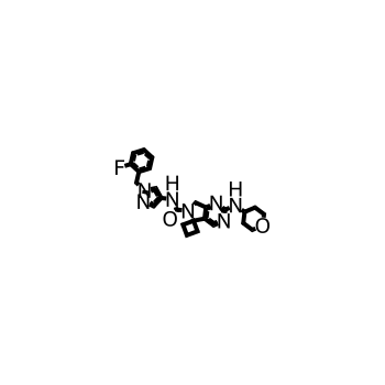 O=C(Nc1cnn(Cc2ccccc2F)c1)N1Cc2nc(NC3CCOCC3)ncc2C12CCC2